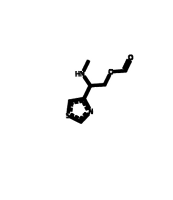 CNC(COC=O)c1cscn1